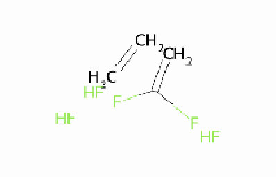 C=C.C=C(F)F.F.F.F